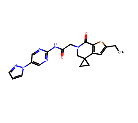 CCc1cc2c(s1)C(=O)N(CC(=O)Nc1ncc(-n3cccn3)cn1)CC21CC1